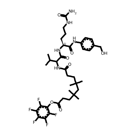 CC(C)C(NC(=O)CCC(C)(C)CC(C)(C)CCC(=O)Oc1c(F)c(F)c(F)c(F)c1F)C(=O)N[C@@H](CCCNC(N)=O)C(=O)Nc1ccc(CO)cc1